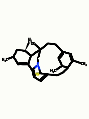 CCC12CCC3=CC(C)C(CCC4=CC=C(C5=CC(C)C[C@H](C)C51)N(C2)C4S)C(C)=C3